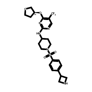 O=S(=O)(c1ccc(C2CNC2)cc1)N1CCC(Nc2ncc(C(F)(F)F)c(O[C@H]3CCOC3)n2)CC1